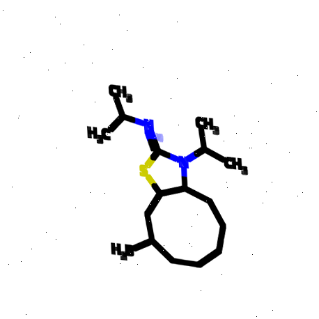 BC1CCCCCC2C(C1)S/C(=N\C(C)C)N2C(C)C